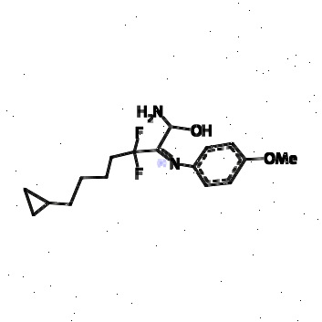 COc1ccc(/N=C(\C(N)O)C(F)(F)CCCCC2CC2)cc1